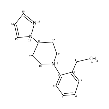 CCc1ccccc1N1CCC(n2cccn2)CC1